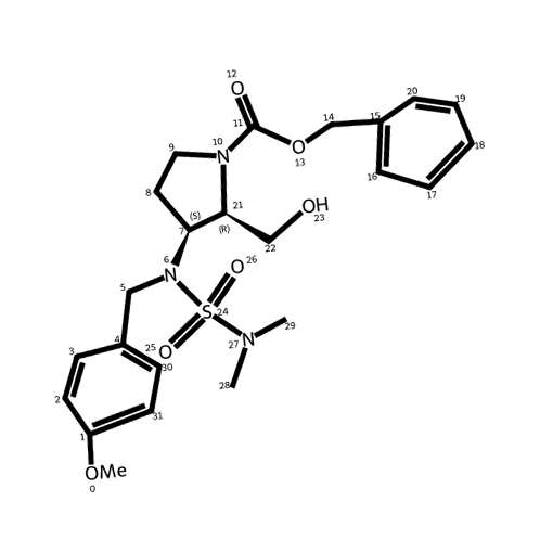 COc1ccc(CN([C@H]2CCN(C(=O)OCc3ccccc3)[C@H]2CO)S(=O)(=O)N(C)C)cc1